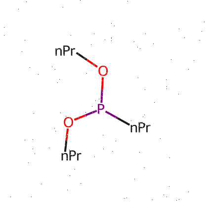 CCCOP(CCC)OCCC